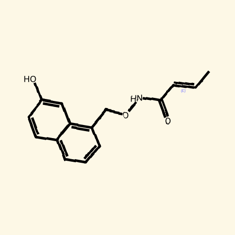 C/C=C/C(=O)NOCc1cccc2ccc(O)cc12